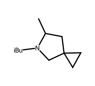 CCC(C)N1CC2(CC2)CC1C